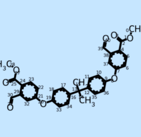 COC(=O)c1ccc(Oc2ccc(C(C)(C)c3ccc(Oc4ccc(C(=O)OC)c(C=O)c4)cc3)cc2)cc1C=O